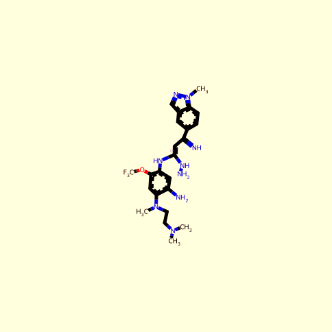 CN(C)CCN(C)c1cc(OC(F)(F)F)c(N/C(=C/C(=N)c2ccc3c(cnn3C)c2)NN)cc1N